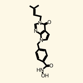 CC(C)=CCn1cnc2c(ccn2Cc2ccc(C(=O)NO)cc2)c1=O